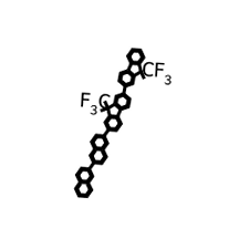 CC1(C(F)(F)F)c2ccccc2-c2ccc(-c3ccc4c(c3)C(C)(C(F)(F)F)c3cc(-c5ccc6cc(-c7ccc8ccccc8c7)ccc6c5)ccc3-4)cc21